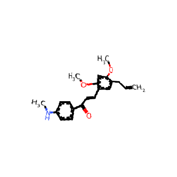 C=CCc1cc(/C=C/C(=O)c2ccc(NC)cc2)c(OC)cc1OC